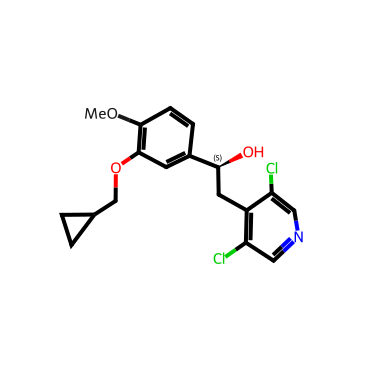 COc1ccc([C@@H](O)Cc2c(Cl)cncc2Cl)cc1OCC1CC1